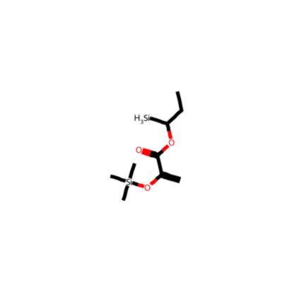 C=C(O[Si](C)(C)C)C(=O)OC([SiH3])CC